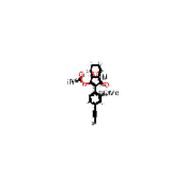 CC#Cc1ccc(C2=C(OC(=O)C(C)C)C3C4CCC(O4)[C@H]3C2=O)c(OC)c1